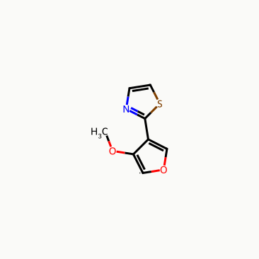 COc1[c]occ1-c1nccs1